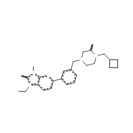 Cn1c(=O)n(CC(C)(C)C)c2ccc(-c3cccc(CN4CCN(CC5CCC5)C(=O)C4)c3)nc21